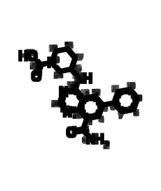 NC(=O)c1cc(-c2ccccc2)cc2c(NC3CCCN(C(=O)O)C3)ncnc12